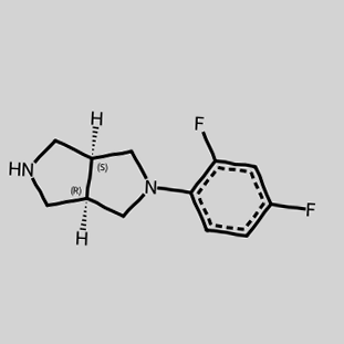 Fc1ccc(N2C[C@H]3CNC[C@H]3C2)c(F)c1